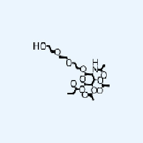 CCC(=O)O[C@H]1O[C@@H](OCCOCCOCCO)[C@H](NC(C)=O)[C@@H](OC(C)=O)[C@H]1OC(C)=O